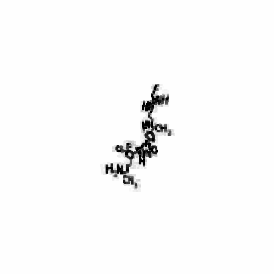 C[C@H](N)CCCc1cc(Cl)c(F)c(-c2cc3cn(-c4ccc([C@H](C)NCCCNC(=N)CF)c(F)c4)c(=O)nc3[nH]2)c1